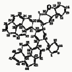 c1ccc(-c2cc(-c3ccc4oc5ccccc5c4c3)c(-c3ccc4ccc5cccc6ccc3c4c56)cc2-c2ccc3ccc4cccc5ccc2c3c45)cc1